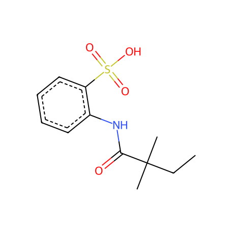 CCC(C)(C)C(=O)Nc1ccccc1S(=O)(=O)O